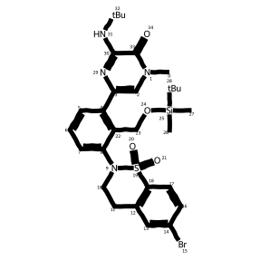 Cn1cc(-c2cccc(N3CCc4cc(Br)ccc4S3(=O)=O)c2CO[Si](C)(C)C(C)(C)C)nc(NC(C)(C)C)c1=O